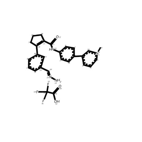 C[n+]1cccc(-c2ccc(NC(=O)C3=C(c4cccc(C=NN)c4)CCC3)cc2)c1.O=C(O)C(F)(F)F